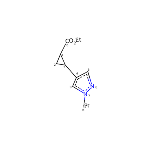 CCOC(=O)C1CC1c1cnn(C(C)C)c1